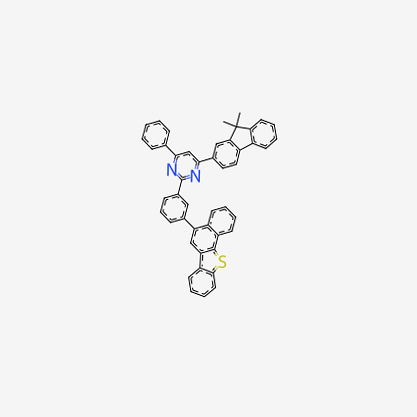 CC1(C)c2ccccc2-c2ccc(-c3cc(-c4ccccc4)nc(-c4cccc(-c5cc6c7ccccc7sc6c6ccccc56)c4)n3)cc21